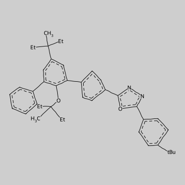 CCC(C)(CC)Oc1c(-c2ccccc2)cc(C(C)(CC)CC)cc1-c1ccc(-c2nnc(-c3ccc(C(C)(C)C)cc3)o2)cc1